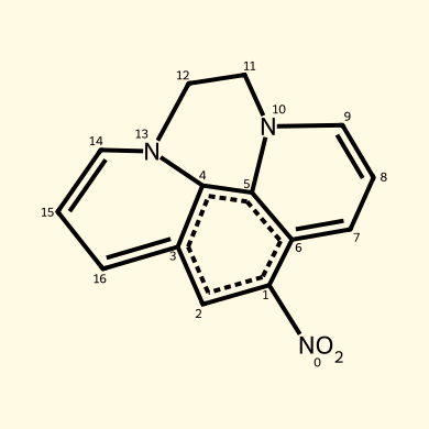 O=[N+]([O-])c1cc2c3c4c1=CC=CN4CCN3C=CC=2